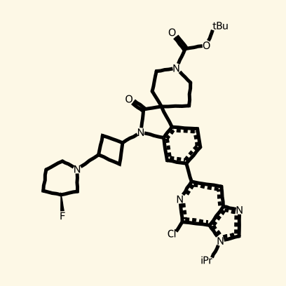 CC(C)n1cnc2cc(-c3ccc4c(c3)N(C3CC(N5CCC[C@H](F)C5)C3)C(=O)C43CCN(C(=O)OC(C)(C)C)CC3)nc(Cl)c21